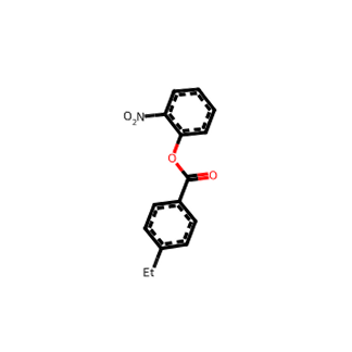 CCc1ccc(C(=O)Oc2ccccc2[N+](=O)[O-])cc1